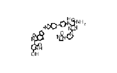 CN1CCN([C@@H]2CCCN(c3cnc(C(N)=O)c(Nc4ccc(C5CCC6(CC5)CN(C[C@@H]5Cc7ccc8c(C9CCC(O)NC9=O)noc8c7C5)C6)cc4)n3)C2)C1=O